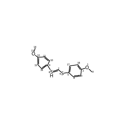 COc1ccc(SC=[SH]c2ccc(OC)cc2)cc1